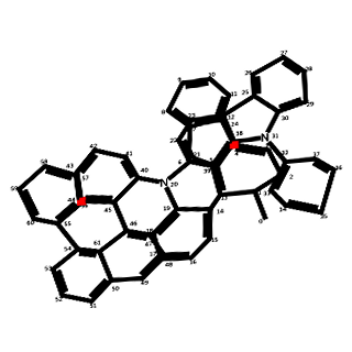 CC1CC=c2c(sc3ccccc23)=C1c1ccccc1N(c1ccc2c3ccccc3n(-c3ccccc3)c2c1)c1ccccc1-c1cccc2cccc(-c3ccccc3)c12